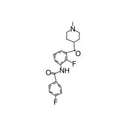 CN1CCC(C(=O)c2cccc(NC(=O)c3ccc(F)cc3)c2F)CC1